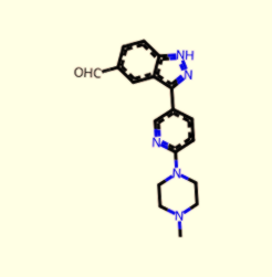 CN1CCN(c2ccc(-c3n[nH]c4ccc(C=O)cc34)cn2)CC1